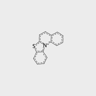 c1ccc2c(c1)ccc1sc3ccccc3[n+]12